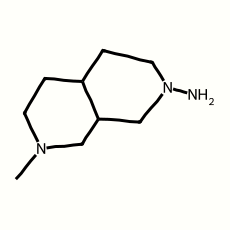 CN1CCC2CCN(N)CC2C1